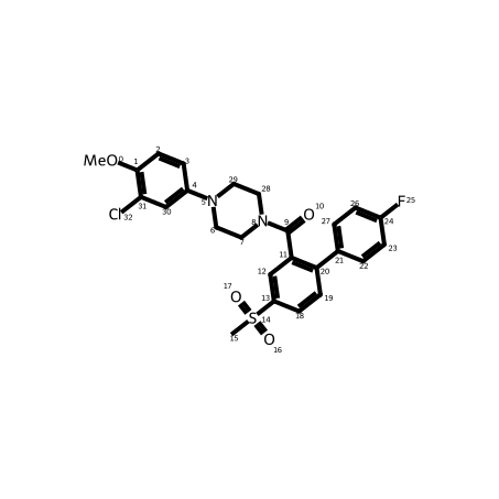 COc1ccc(N2CCN(C(=O)c3cc(S(C)(=O)=O)ccc3-c3ccc(F)cc3)CC2)cc1Cl